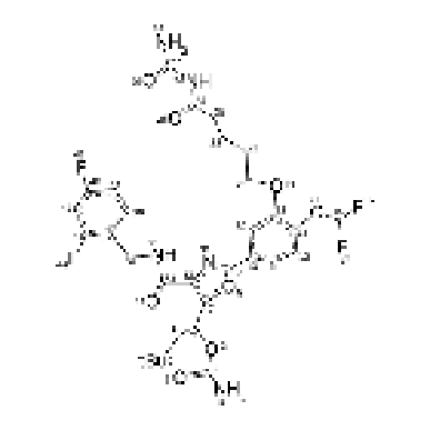 CC(C)(C)CC(OC(N)=O)c1oc(-c2ccc(OC(F)F)c(OCCCCC(=O)NC(N)=O)c2)nc1C(=O)NCc1ccc(F)cc1F